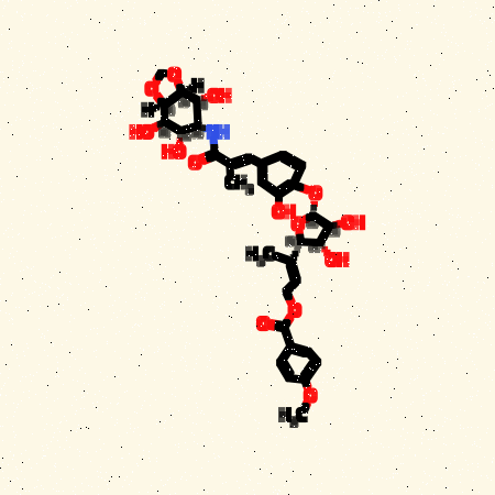 COc1ccc(C(=O)OCC=C(C)[C@@H]2O[C@H](Oc3ccc(C=C(C)C(=O)N[C@@H]4[C@H](O)[C@@H](O)[C@H]5OCO[C@H]5[C@@H]4O)cc3O)[C@@H](O)[C@@H]2O)cc1